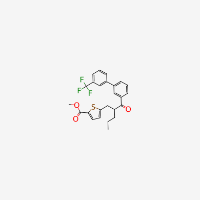 CCCC(Cc1ccc(C(=O)OC)s1)C(=O)c1cccc(-c2cccc(C(F)(F)F)c2)c1